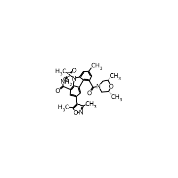 Cc1cc(C(=O)N2C[C@@H](C)O[C@@H](C)C2)c2c3cc(-c4c(C)noc4C)cc(C(N)=O)c3n(S(C)(=O)=O)c2c1